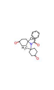 CC1(N(C(=O)c2ccccc2)C2(C)CCC(=O)CC2)CCC(=O)CC1